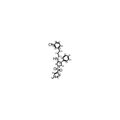 Cn1cnc(S(=O)(=O)N2C[C@H](NCCCc3cccc(Cl)c3)[C@@H](c3ccccc3)C2)c1